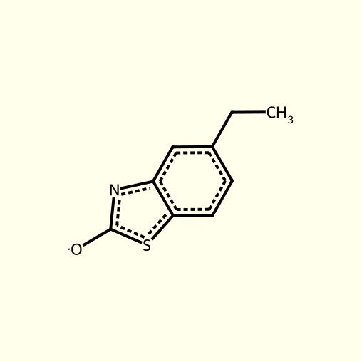 CCc1ccc2sc([O])nc2c1